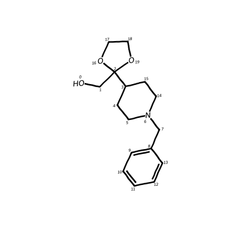 OCC1(C2CCN(Cc3ccccc3)CC2)OCCO1